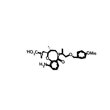 COc1ccc(COCC(C)N2C[C@@H](C)[C@H](CN(C)C(=O)O)Oc3c(N)cccc3C2=O)cc1